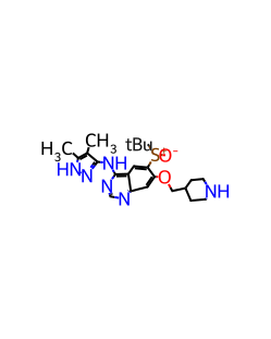 Cc1[nH]nc(Nc2ncnc3cc(OCC4CCNCC4)c([S+]([O-])C(C)(C)C)cc23)c1C